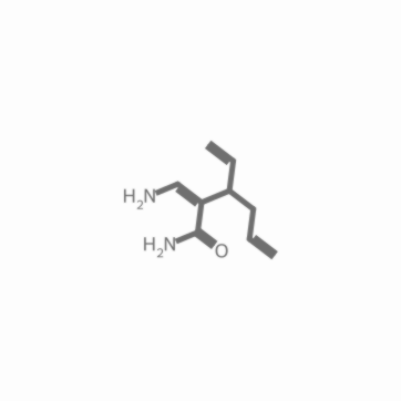 C=CCC(C=C)C(=CN)C(N)=O